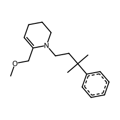 COCC1=CCCCN1CCC(C)(C)c1ccccc1